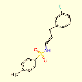 Cc1ccc(S(=O)(=O)NC=CCc2cccc(F)c2)cc1